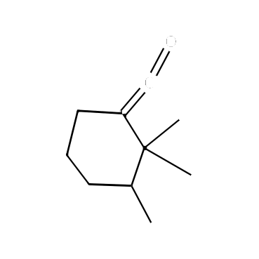 CC1CCCC(=C=O)C1(C)C